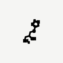 NCC(O)COc1cnsn1